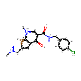 CNCc1cc2c(=O)c(C(=O)NCc3ccc(Cl)cc3)cn(C)c2s1